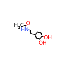 CC(=O)N/C=C/c1ccc(O)c(O)c1